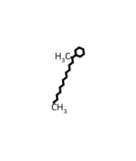 CCCCCCCCCCCCCC(C)C1CCCCC1